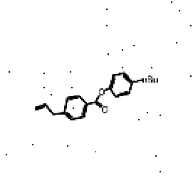 C=CCc1ccc(C(=O)Oc2ccc(CCCC)cc2)cc1